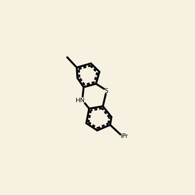 Cc1ccc2c(c1)Nc1ccc(C(C)C)cc1S2